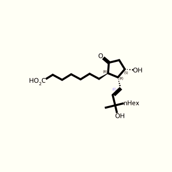 CCCCCCC(C)(O)/C=C/[C@H]1[C@@H](O)CC(=O)[C@@H]1CCCCCCC(=O)O